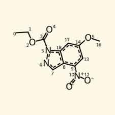 CCOC(=O)n1ncc2c([N+](=O)[O-])cc(OC)cc21